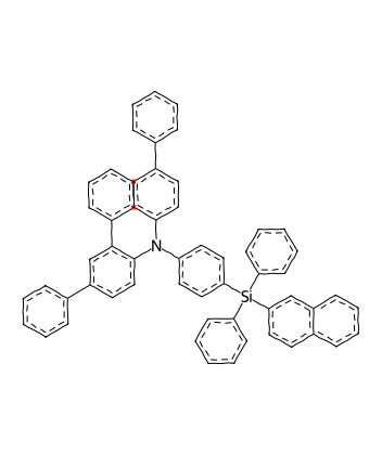 c1ccc(-c2ccc(N(c3ccc([Si](c4ccccc4)(c4ccccc4)c4ccc5ccccc5c4)cc3)c3ccc(-c4ccccc4)cc3-c3ccccc3)cc2)cc1